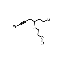 [Li][CH2]CC(CC#CCC)OCCOCC